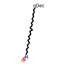 CCCCCCCCCCCCCCCCCCCCCCCCCCCCCCCCN=C=O